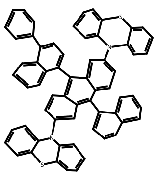 c1ccc(-c2ccc(-c3c4ccc(N5c6ccccc6Sc6ccccc65)cc4c(-c4cccc5ccccc45)c4ccc(N5c6ccccc6Sc6ccccc65)cc34)c3ccccc23)cc1